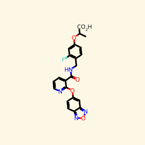 CC(Oc1ccc(CNC(=O)c2cccnc2Oc2ccc3nonc3c2)c(F)c1)C(=O)O